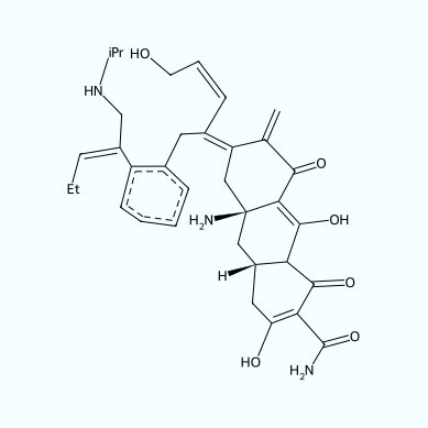 C=C1C(=O)C2=C(O)C3C(=O)C(C(N)=O)=C(O)C[C@@H]3C[C@]2(N)C/C1=C(/C=C\CO)Cc1ccccc1/C(=C\CC)CNC(C)C